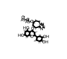 C1CCc2nnnn2CC1.O=[As]O[As]=O.O=c1cc(-c2ccc(O)c(O)c2)oc2cc(O)cc(O)c12